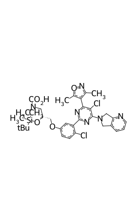 Cc1noc(C)c1-c1nc(-c2cc(OC[C@@H](CN(C)C(=O)O)O[Si](C)(C)C(C)(C)C)ccc2Cl)nc(N2Cc3cccnc3C2)c1Cl